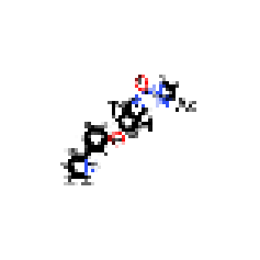 CC(=O)c1ccn(C(=O)N2C[C@H]3C[C@H](Oc4cccc(-c5ccccn5)c4)C[C@H]3C2)n1